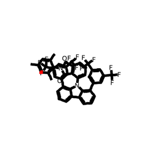 Cc1cc(C)c(N2C(=O)c3cccc(-n4c5c(-c6cc(C(F)(F)F)cc(C(F)(F)F)c6)cccc5c5cccc(-c6cc(C(F)(F)F)cc(C(F)(F)F)c6)c54)c3C2=O)c(C)c1